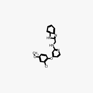 COc1ccc(Oc2ccnc(NCc3nc4ccccc4[nH]3)c2)c(Cl)c1